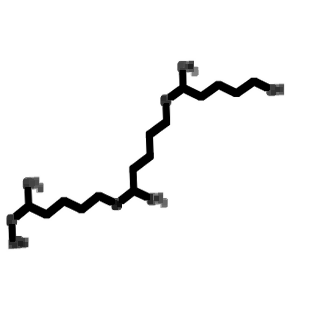 CCCCOC(C)CCCCOC(C)CCCCOC(C)CCCCO